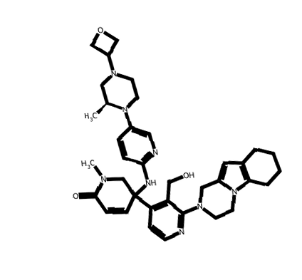 C[C@H]1CN(C2COC2)CCN1c1ccc(NC2(c3ccnc(N4CCn5c(cc6c5CCCC6)C4)c3CO)C=CC(=O)N(C)C2)nc1